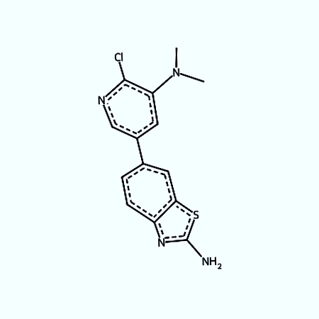 CN(C)c1cc(-c2ccc3nc(N)sc3c2)cnc1Cl